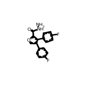 NNC(=O)c1occ(-c2ccc(F)cc2)c1-c1ccc(F)cc1